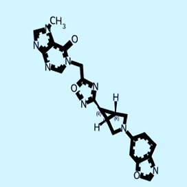 Cn1cnc2ncn(Cc3nc([C@H]4[C@@H]5CN(c6ccc7ncoc7c6)C[C@@H]54)no3)c(=O)c21